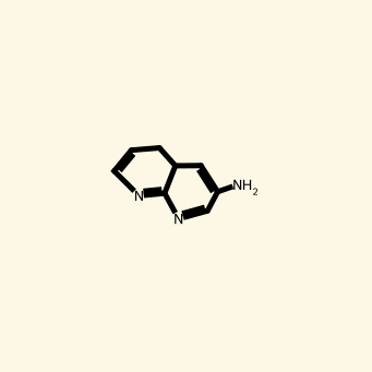 NC1=CC2CC=CN=C2N=C1